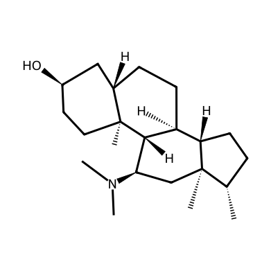 C[C@H]1CC[C@H]2[C@@H]3CC[C@H]4C[C@H](O)CC[C@]4(C)[C@H]3[C@H](N(C)C)C[C@]12C